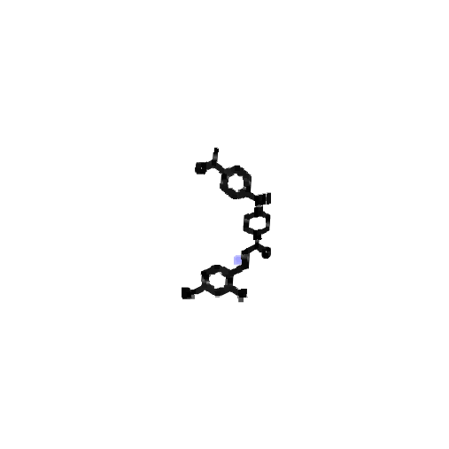 CC(=O)c1ccc(NN2CCN(C(=O)/C=C/c3ccc(Br)cc3F)CC2)cc1